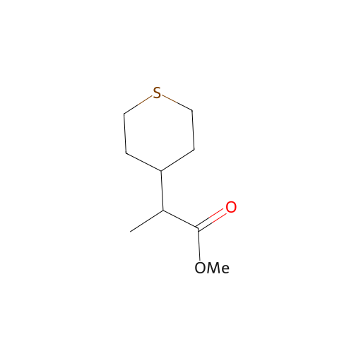 COC(=O)C(C)C1CCSCC1